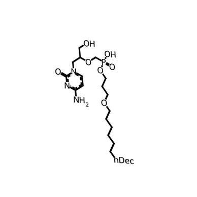 CCCCCCCCCCCCCCCCOCCCOP(=O)(O)COC(CO)Cn1ccc(N)nc1=O